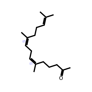 CC(=O)CCC/C(C)=C\C/C=C(/C)CCC=C(C)C